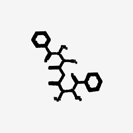 CN(C(=O)CC(=O)N(C)N(C)C(=S)c1ccccc1)N(C)C(=S)c1ccccc1